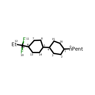 CCCCCC1CCC(C2CCC(C(F)(F)CC)CC2)CC1